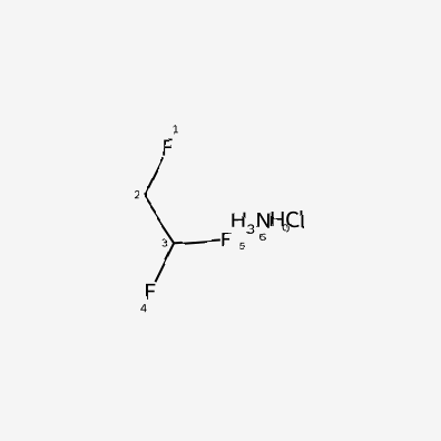 Cl.FCC(F)F.N